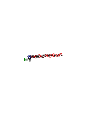 COCCOCCOCCOCCOCCOCCOCCOCCOc1cc(C)c(Br)cn1